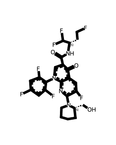 O=C(N[C@@H](CCF)C(F)F)c1cn(-c2c(F)cc(F)cc2F)c2nc(N3CCCC[C@H]3CO)c(F)cc2c1=O